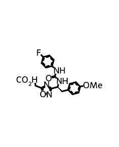 COc1ccc(C[C@H](NC(=O)Nc2ccc(F)cc2)c2noc(CC(=O)O)n2)cc1